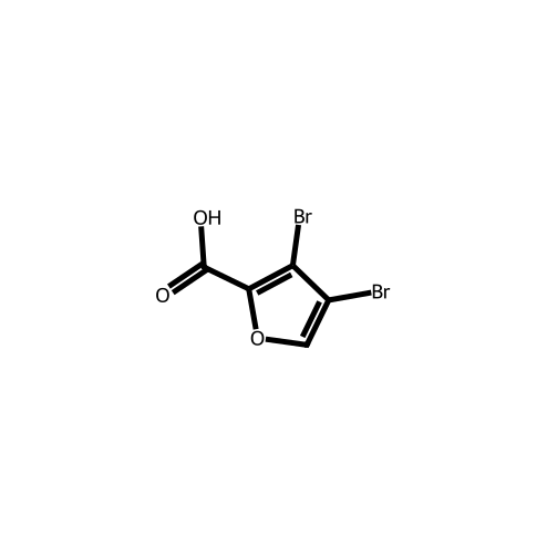 O=C(O)c1occ(Br)c1Br